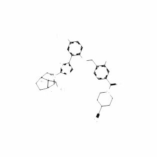 Cc1ccc(OCc2ccc(C(=O)N3CCC(C#N)CC3)cc2C)c(-c2csc(N3C[C@H]4CC[C@@H](C3)[C@H]4CO)n2)c1